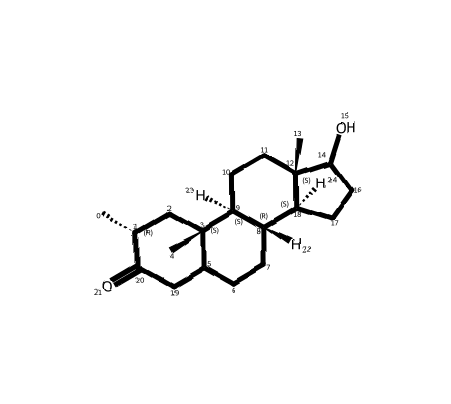 C[C@@H]1C[C@@]2(C)C(CC[C@@H]3[C@@H]2CC[C@]2(C)C(O)CC[C@@H]32)CC1=O